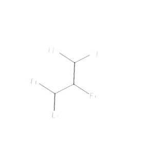 CCCC(CC)C(CC)C(C)S